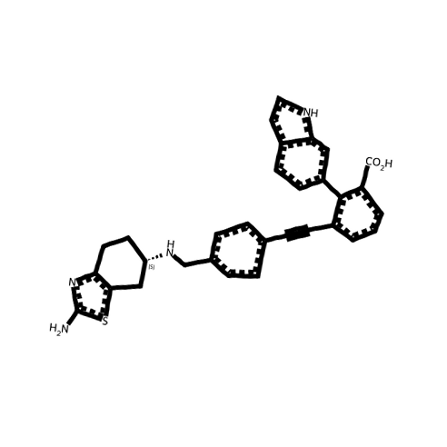 Nc1nc2c(s1)C[C@@H](NCc1ccc(C#Cc3cccc(C(=O)O)c3-c3ccc4cc[nH]c4c3)cc1)CC2